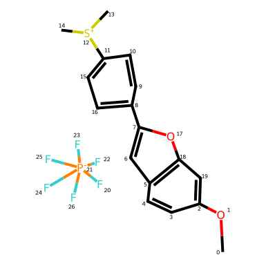 COc1ccc2cc(-c3ccc([S+](C)C)cc3)oc2c1.F[P-](F)(F)(F)(F)F